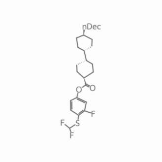 CCCCCCCCCC[C@H]1CC[C@H]([C@H]2CC[C@H](C(=O)Oc3ccc(SC(F)F)c(F)c3)CC2)CC1